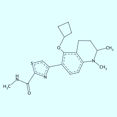 CNC(=O)c1nc(-c2ccc3c(c2OC2CCC2)CCC(C)N3C)cs1